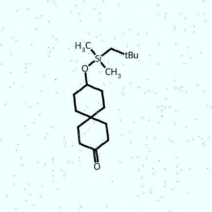 CC(C)(C)C[Si](C)(C)OC1CCC2(CCC(=O)CC2)CC1